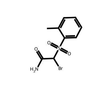 Cc1ccccc1S(=O)(=O)C(Br)C(N)=O